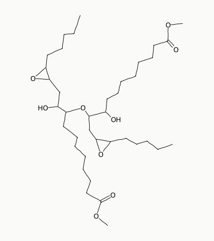 CCCCCC1OC1CC(O)C(CCCCCCCC(=O)OC)OC(CC1OC1CCCCC)C(O)CCCCCCCC(=O)OC